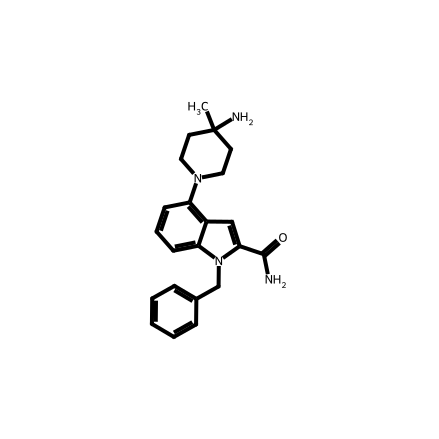 CC1(N)CCN(c2cccc3c2cc(C(N)=O)n3Cc2ccccc2)CC1